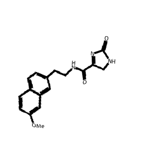 COc1ccc2ccc(CCNC(=O)C3=NC(=O)NC3)cc2c1